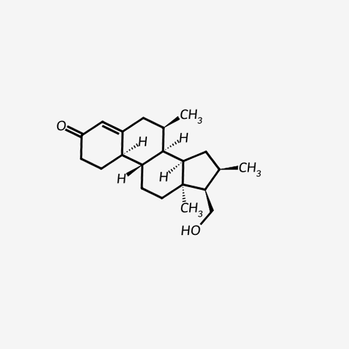 C[C@@H]1CC2=CC(=O)CC[C@@H]2[C@H]2CC[C@@]3(C)[C@H](C[C@@H](C)[C@H]3CO)[C@@H]21